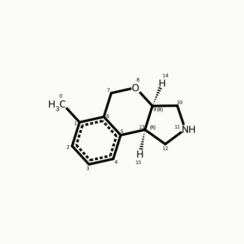 Cc1cccc2c1CO[C@H]1CNC[C@@H]21